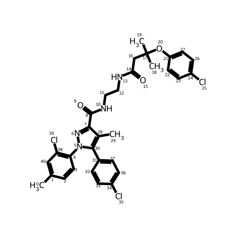 Cc1ccc(-n2nc(C(=O)NCCNC(=O)CC(C)(C)Oc3ccc(Cl)cc3)c(C)c2-c2ccc(Cl)cc2)c(Cl)c1